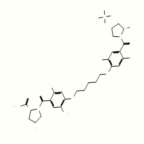 COC(=O)[C@@H]1C[C@@H](C)CN1C(=O)c1cc(OC)c(OCCCCCOc2cc([N+](=O)[O-])c(C(=O)N3C[C@H](O[Si](C)(C)C(C)(C)C)C[C@H]3C(C)=O)cc2C)cc1[N+](=O)[O-]